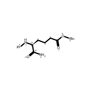 CC(C)N[C@@H](CCCC(=O)OC(C)(C)C)C(N)=O